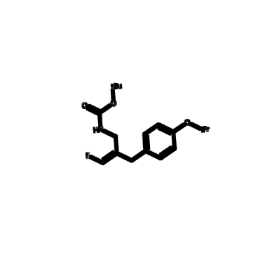 CC(C)Oc1ccc(CC(=CF)CNC(=O)OC(C)(C)C)cc1